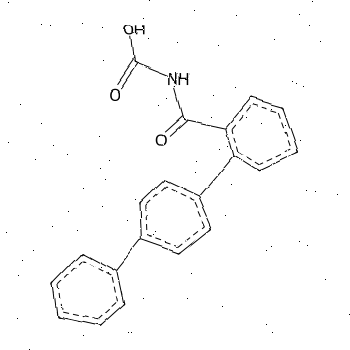 O=C(O)NC(=O)c1ccccc1-c1ccc(-c2ccccc2)cc1